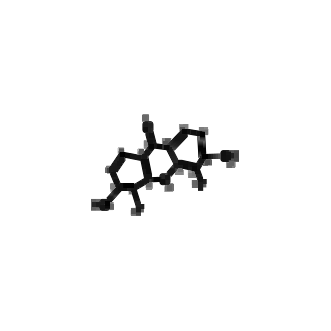 O=c1c2ccc(O)c(F)c2oc2c(F)c(O)ccc12